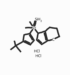 CC(C)(C)C1=CC=[C]([Zr]([CH3])([CH3])(=[SiH2])[CH]2C=CC3=C2CCCC3)C1.Cl.Cl